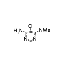 CNc1ncnc(N)c1Cl